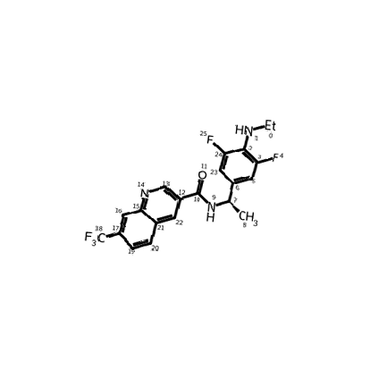 CCNc1c(F)cc([C@@H](C)NC(=O)c2cnc3cc(C(F)(F)F)ccc3c2)cc1F